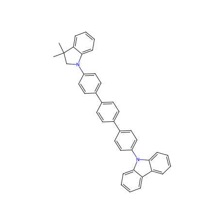 CC1(C)CN(c2ccc(-c3ccc(-c4ccc(-n5c6ccccc6c6ccccc65)cc4)cc3)cc2)c2ccccc21